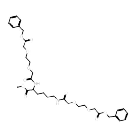 COC(=O)C(CCCCNC(=O)COCCOCC(=O)OCc1ccccc1)NC(=O)COCCOCC(=O)OCc1ccccc1